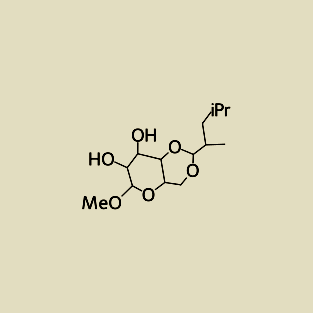 COC1OC2COC(C(C)CC(C)C)OC2C(O)C1O